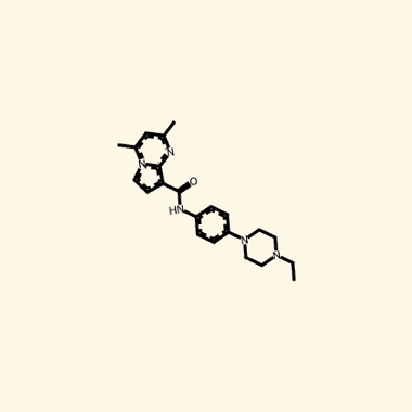 CCN1CCN(c2ccc(NC(=O)c3ccn4c(C)cc(C)nc34)cc2)CC1